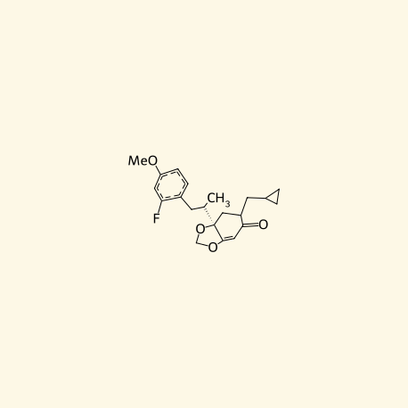 COc1ccc(CC(C)[C@]23CC(CC4CC4)C(=O)C=C2OCO3)c(F)c1